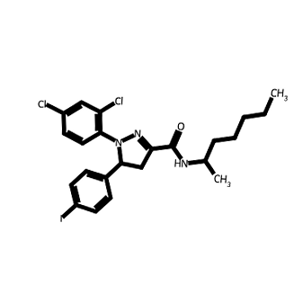 CCCCCC(C)NC(=O)C1=NN(c2ccc(Cl)cc2Cl)C(c2ccc(I)cc2)C1